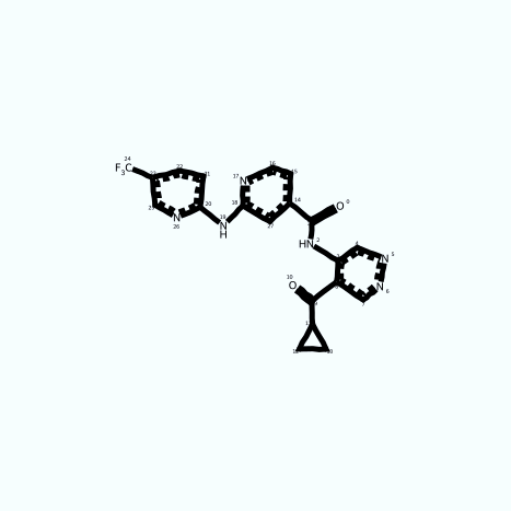 O=C(Nc1cnncc1C(=O)C1CC1)c1ccnc(Nc2ccc(C(F)(F)F)cn2)c1